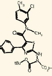 Cc1ccc(N(C)C(=O)c2sc(NN(C(=O)O)C(=O)OC(C)(C)C)nc2-c2ccccc2)cc1Cl